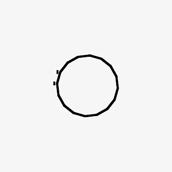 [C]1[C]CCCCCCCCCCCCCC1